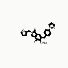 COc1c(Cc2ccc(-n3cccn3)cc2)cc2c(c1F)CN(CC1CCCO1)C2=O